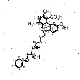 CCOc1ccc(OCCCCNC[C@H](O)COc2ccccc2)c(C2C(C(=O)O)=C(C)NC(C)=C2C(=O)O)c1